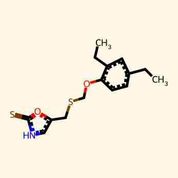 CCc1ccc(OCSCc2c[nH]c(=S)o2)c(CC)c1